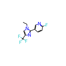 CCn1cc(C(F)(F)F)nc1-c1ccc(F)nc1